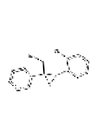 Clc1ccccc1C1OC1(CBr)c1ccccc1